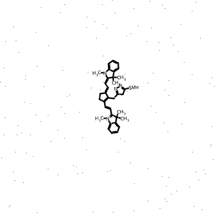 CSC1=NN=C(CC2=C(/C=C/C3=[N+](C)c4ccccc4C3(C)C)CC/C2=C\C=C2\N(C)c3ccccc3C2(C)C)C1